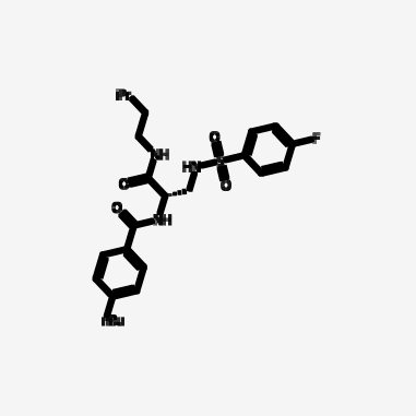 CCCCc1ccc(C(=O)N[C@@H](CNS(=O)(=O)c2ccc(F)cc2)C(=O)NCCC(C)C)cc1